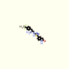 CC(F)(F)c1ccc(C[C@H](N)CNc2nnc(-c3ccc4c(c3)CC(=O)N4)s2)cc1